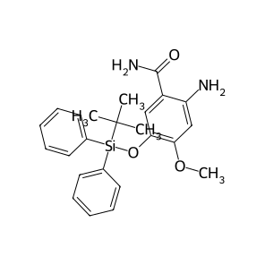 COc1cc(N)c(C(N)=O)cc1O[Si](c1ccccc1)(c1ccccc1)C(C)(C)C